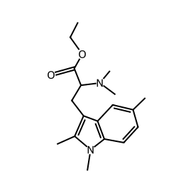 CCOC(=O)C(Cc1c(C)n(C)c2ccc(C)cc12)N(C)C